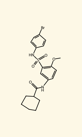 COc1ccc(NC(=O)C2CCCCC2)cc1S(=O)(=O)Nc1ccc(Br)cc1